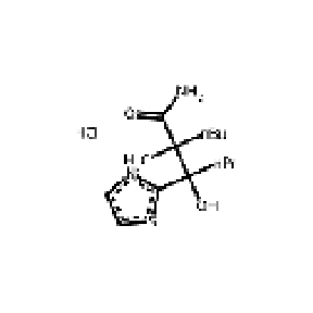 CCCCC(C)(C(N)=O)C(O)(CCC)c1nccs1.Cl